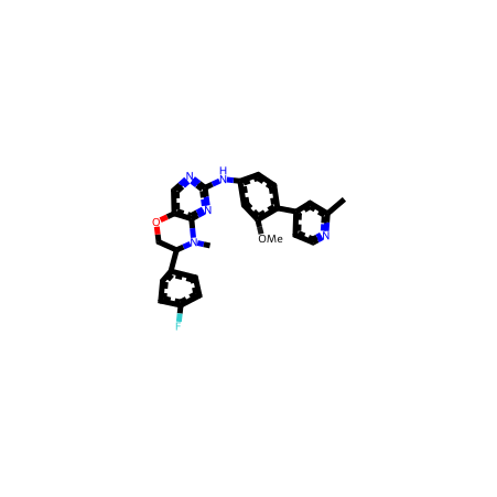 COc1cc(Nc2ncc3c(n2)N(C)C(c2ccc(F)cc2)CO3)ccc1-c1ccnc(C)c1